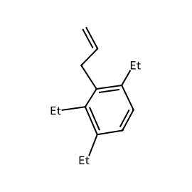 C=CCc1c(CC)ccc(CC)c1CC